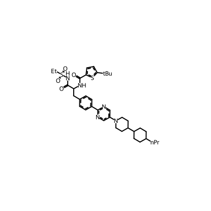 CCCC1CCC(C2CCN(c3cnc(-c4ccc(CC(NC(=O)c5ccc(C(C)(C)C)s5)C(=O)NS(=O)(=O)CC)cc4)nc3)CC2)CC1